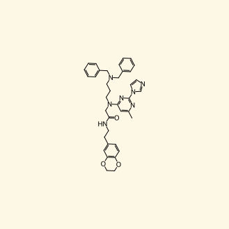 Cc1cc(N(CCCN(Cc2ccccc2)Cc2ccccc2)CC(=O)NCCc2ccc3c(c2)OCCO3)nc(-n2ccnc2)n1